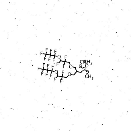 CO[Si](CC(COCC(F)(F)C(F)OC(F)(F)C(F)(F)C(F)(F)F)COCC(F)(F)C(F)OC(F)(F)C(F)(F)C(F)(F)F)(OC)OC